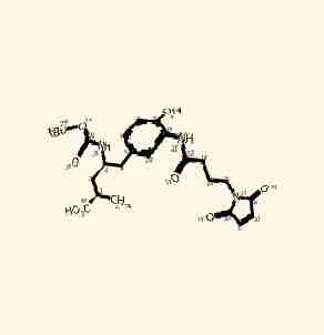 C[C@H](C[C@H](Cc1ccc(O)c(NC(=O)CCCN2C(=O)C=CC2=O)c1)NC(=O)OC(C)(C)C)C(=O)O